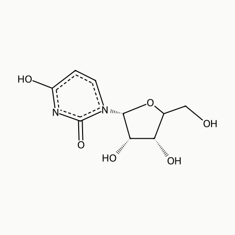 O=c1nc(O)ccn1[C@@H]1OC(CO)[C@H](O)[C@@H]1O